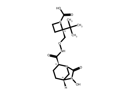 CC(C)(C)[C@]1(CONC(=O)[C@@H]2CC[C@@H]3CN2C(=O)N3O)CCN1C(=O)O